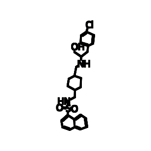 O=S(=O)(NCC1CCC(CNC(CO)Cc2ccc(Cl)cc2)CC1)c1cccc2ccccc12